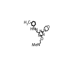 CNCCOc1nc(C=NNc2cccc(C)c2)nc(N2CCOCC2)n1